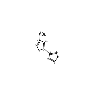 CCCCC1=CCC(C2=[C]CC=C2)=C1